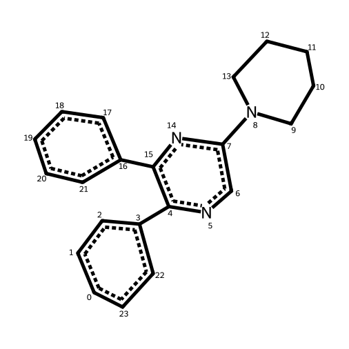 c1ccc(-c2ncc(N3CCCCC3)nc2-c2ccccc2)cc1